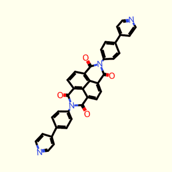 O=C1c2ccc3c4c(ccc(c24)C(=O)N1c1ccc(-c2ccncc2)cc1)C(=O)N(c1ccc(-c2ccncc2)cc1)C3=O